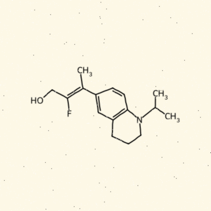 CC(=C(F)CO)c1ccc2c(c1)CCCN2C(C)C